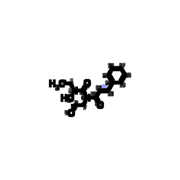 CCN(O)C(=O)N(C[C]=O)C(=O)/C=C/c1ccccc1